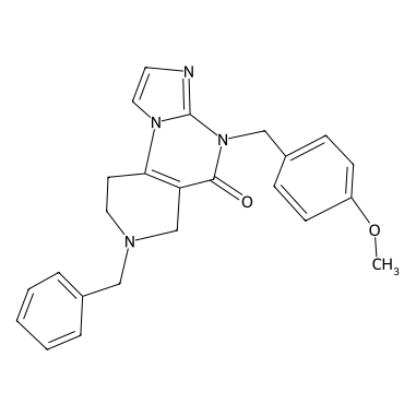 COc1ccc(Cn2c(=O)c3c(n4ccnc24)CCN(Cc2ccccc2)C3)cc1